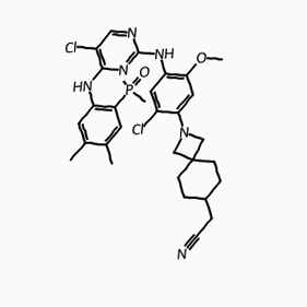 COc1cc(N2CC3(CCC(CC#N)CC3)C2)c(Cl)cc1Nc1ncc(Cl)c(Nc2cc(C)c(C)cc2P(C)(C)=O)n1